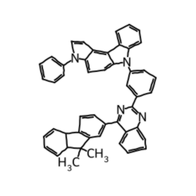 CC1(C)c2cc(-c3nc(-c4cccc(-n5c6ccccc6c6c7ccn(-c8ccccc8)c7ccc65)c4)nc4ccccc34)ccc2C2C=CC=CC21